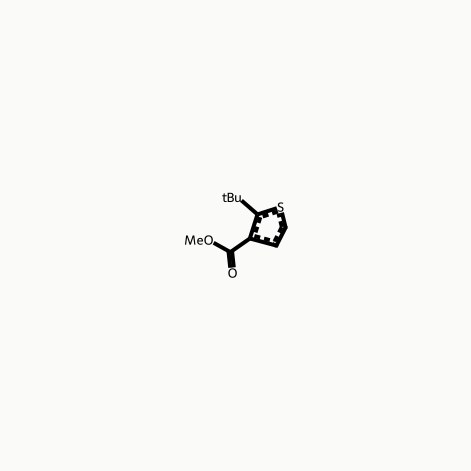 COC(=O)c1ccsc1C(C)(C)C